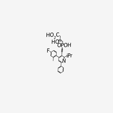 Cc1cc(F)ccc1-c1cc(-c2ccccc2)nc(C(C)C)c1C#CP(=O)(O)C[C@@H](O)CC(=O)O